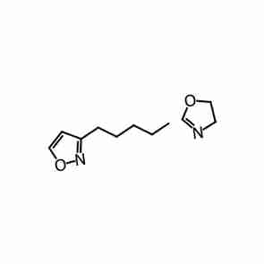 C1=NCCO1.CCCCCc1ccon1